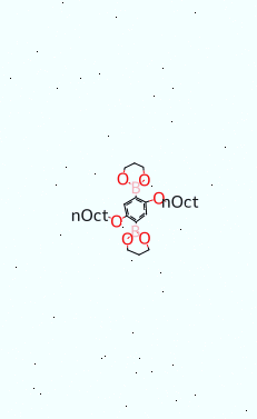 CCCCCCCCOc1cc(B2OCCCO2)c(OCCCCCCCC)cc1B1OCCCO1